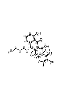 CC(=O)C1=C(C)C[C@]2(C)[C@@H](C)[C@@]3(C)C(=C(O)[C@]2(O)C1=O)C(=O)c1c(O)cccc1[C@H]3CCCCC(C)C